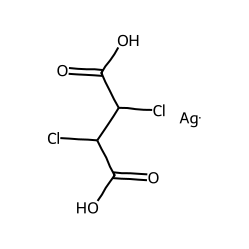 O=C(O)C(Cl)C(Cl)C(=O)O.[Ag]